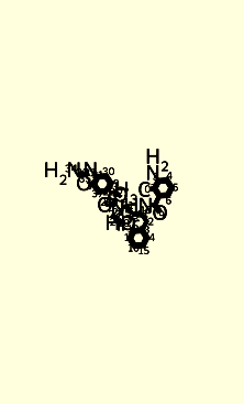 Cc1c(N)cccc1C(=O)NC(Cc1ccccc1)C(O)CN(CC(C)C)S(=O)(=O)c1ccc2nc(N)oc2c1